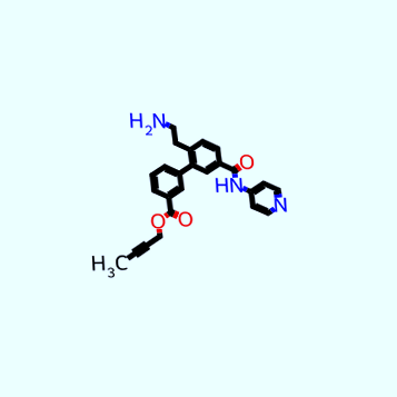 CC#CCOC(=O)c1cccc(-c2cc(C(=O)Nc3ccncc3)ccc2CCN)c1